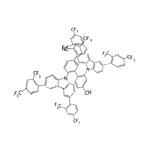 N#Cc1ccc(-c2cc(-c3ccc(C(F)(F)F)cc3C#N)ccc2-n2c3ccc(-c4ccc(C(F)(F)F)cc4C(F)(F)F)cc3c3cc(-c4ccc(C(F)(F)F)cc4C(F)(F)F)ccc32)c(-n2c3ccc(-c4ccc(C(F)(F)F)cc4C(F)(F)F)cc3c3cc(-c4ccc(C(F)(F)F)cc4C(F)(F)F)ccc32)c1